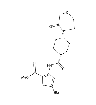 COC(=O)c1sc(C(C)(C)C)cc1NC(=O)[C@H]1CC[C@H](N2CCOCC2=O)CC1